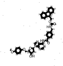 COc1ccc(OC[C@H]2O[C@@H](n3cnc4c(NC(=O)c5ccc(CNC(=O)OCC6c7ccccc7-c7ccccc76)cc5)ncnc43)CC2O)cc1